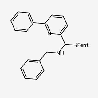 CCCC(C)C(NCc1ccccc1)c1cccc(-c2ccccc2)n1